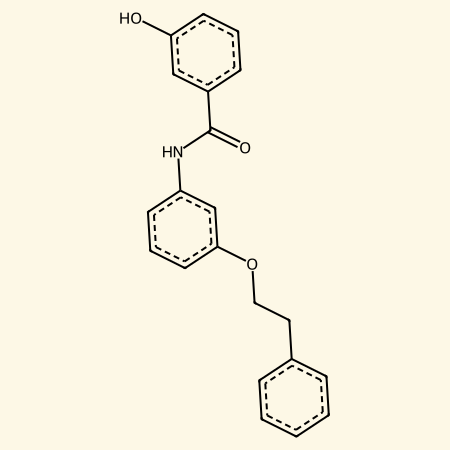 O=C(Nc1cccc(OCCc2ccccc2)c1)c1cccc(O)c1